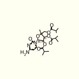 CC(C)C(=O)OC[C@@]1(C)O[C@@H](n2ccc(N)nc2=O)[C@H](OC(=O)C(C)C)[C@@H]1OC(=O)C(C)C